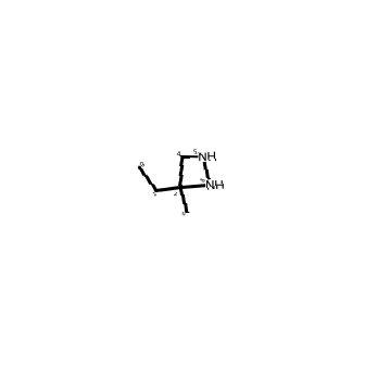 CCC1(C)CNN1